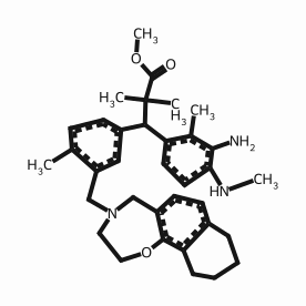 CNc1ccc(C(c2ccc(C)c(CN3CCOc4c(ccc5c4CCCC5)C3)c2)C(C)(C)C(=O)OC)c(C)c1N